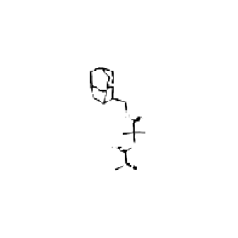 C=C(C)C(=O)OC(C)(C)C(=O)OCC1C2CC3CC(C2)CC1C3